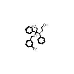 OCC[C@@H](c1ccccc1)C(CO)(OCc1cccc(Br)c1)c1ccccc1